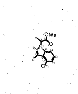 COC(=O)C(C)n1nc(I)c2c(Cl)cccc21